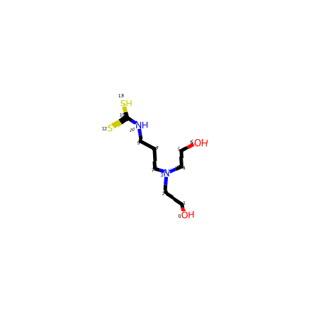 OCCN(CCO)CCCNC(=S)S